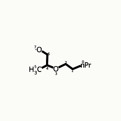 CCCCCOC(C)C[O]